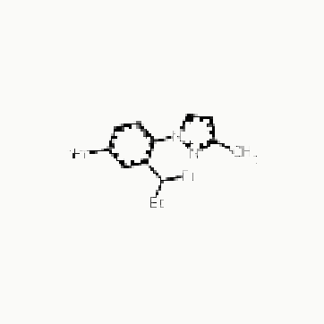 CCCc1ccc(-n2ccc(C)n2)c(C(CC)CC)c1